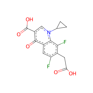 O=C(O)Cc1c(F)cc2c(=O)c(C(=O)O)cn(C3CC3)c2c1F